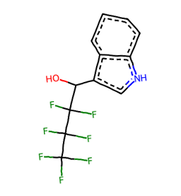 OC(c1c[nH]c2ccccc12)C(F)(F)C(F)(F)C(F)(F)F